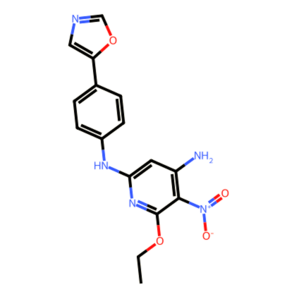 CCOc1nc(Nc2ccc(-c3cnco3)cc2)cc(N)c1[N+](=O)[O-]